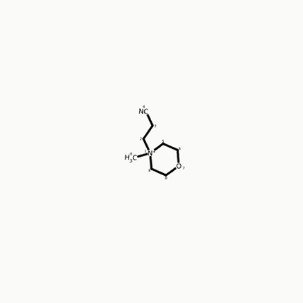 C[N+]1(CCC#N)CCOCC1